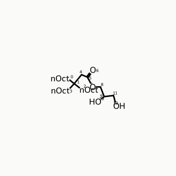 CCCCCCCCC(CCCCCCCC)(CCCCCCCC)CC(=O)OCC(O)CO